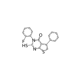 O=c1c2c(-c3ccccc3)csc2nc(S)n1-c1ccccc1F